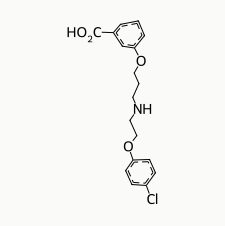 O=C(O)c1cccc(OCCCNCCOc2ccc(Cl)cc2)c1